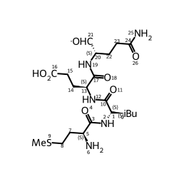 CC[C@H](C)[C@H](NC(=O)[C@@H](N)CCSC)C(=O)N[C@@H](CCC(=O)O)C(=O)N[C@H]([C]=O)CCC(N)=O